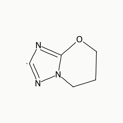 [c]1nc2n(n1)CCCO2